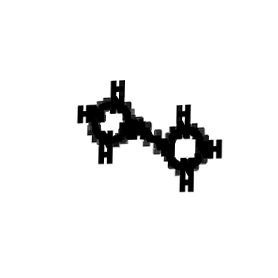 C(CCCN1CCCNCCNCCCNCC1)CCC1CCNCCNCCCNCCN1